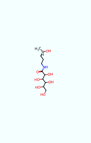 C[SiH](O)CCCNC(=O)C(O)C(O)C(O)C(O)CO